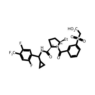 CC[C@@H]1CC[C@H](C(=O)NC(c2cc(F)c(C(F)(F)F)cc2F)C2CC2)N1C(=O)c1cccc(S(=O)(=O)CC(=O)O)c1